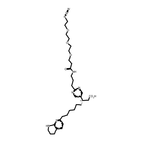 [N-]=[N+]=NCCOCCOCCOCCC(=O)NCCCc1ncc([C@@H](CCCCCCc2ccc3c(n2)NCCC3)CC(=O)O)cn1